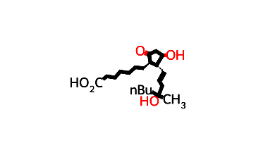 CCCCC(C)(O)CC=C[C@H]1C(O)CC(=O)[C@@H]1CCCCCCC(=O)O